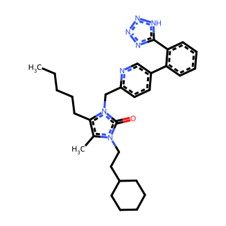 CCCCCc1c(C)n(CCC2CCCCC2)c(=O)n1Cc1ccc(-c2ccccc2-c2nnn[nH]2)cn1